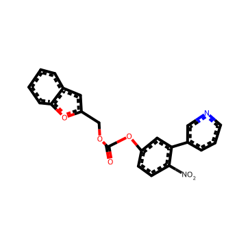 O=C(OCc1cc2ccccc2o1)Oc1ccc([N+](=O)[O-])c(-c2cccnc2)c1